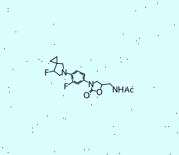 CC(=O)NCC1CN(c2ccc(N3CC(F)C4(CC4)C3)c(F)c2)C(=O)O1